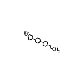 C=CCC1CCC(c2ccc(-c3ccc(CC(C)C)cc3)cc2)CC1